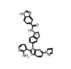 Nc1ncccc1-c1nc2ccc(-n3cccn3)nc2n1-c1ccc2c(c1)CC[C@@H]2NC(=O)c1ccc2[nH]cnc2c1